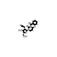 N#CC[C@@H]1[C@H](O)[C@@H](CO)O[C@H]1n1ccc(=O)n(C(=O)c2ccccc2)c1=O